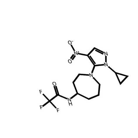 O=C(NC1CCCN(c2c([N+](=O)[O-])cnn2C2CC2)CC1)C(F)(F)F